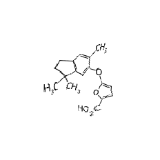 Cc1cc2c(cc1Oc1ccc(C(=O)O)o1)C(C)(C)CC2